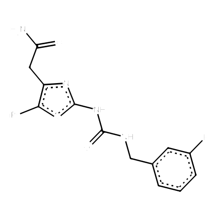 CC(C)c1sc(NC(=O)NCc2cccc(F)c2)nc1CC(N)=O